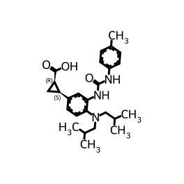 Cc1ccc(NC(=O)Nc2cc([C@H]3C[C@H]3C(=O)O)ccc2N(CC(C)C)CC(C)C)cc1